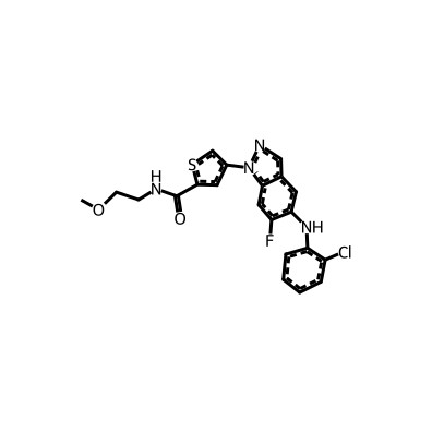 COCCNC(=O)c1cc(-n2ncc3cc(Nc4ccccc4Cl)c(F)cc32)cs1